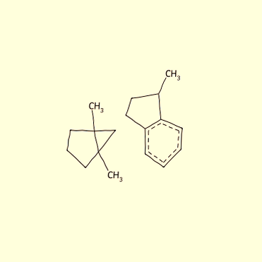 CC12CCCC1(C)C2.CC1CCc2ccccc21